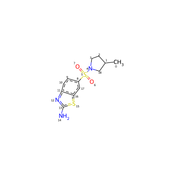 CC1CCN(S(=O)(=O)c2ccc3nc(N)sc3c2)C1